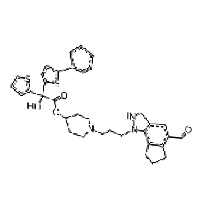 O=Cc1cc2c(c3c1CCC3)N(CCCN1CCC(OC(=O)[C@](O)(c3cccs3)c3ccc(-c4ccccc4)s3)CC1)NC2